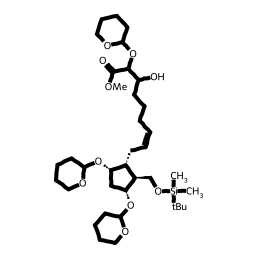 COC(=O)C(OC1CCCCO1)C(O)CCC/C=C\C[C@@H]1[C@@H](CO[Si](C)(C)C(C)(C)C)[C@H](OC2CCCCO2)C[C@@H]1OC1CCCCO1